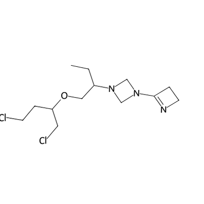 CCC(COC(CCl)CCCl)N1CN(C2=NCC2)C1